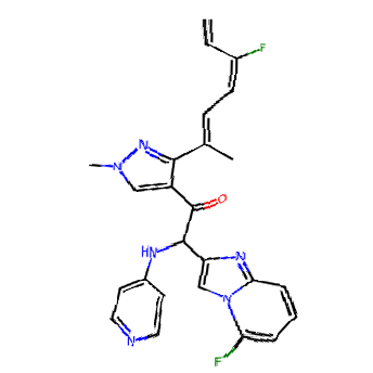 C=C/C(F)=C\C=C(/C)c1nn(C)cc1C(=O)C(Nc1ccncc1)c1cn2c(F)cccc2n1